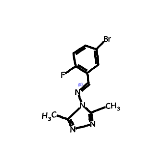 Cc1nnc(C)n1/N=C/c1cc(Br)ccc1F